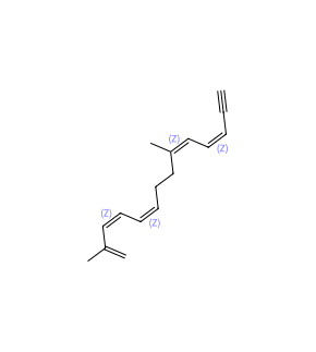 C#C/C=C\C=C(\C)CC/C=C\C=C/C(=C)C